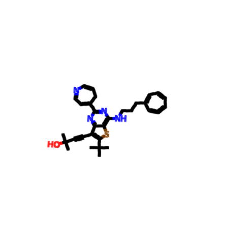 CC(C)(O)C#Cc1c(C(C)(C)C)sc2c(NCCCC3=CC=CC=C=C3)nc(C3=CC=NC=CC3)nc12